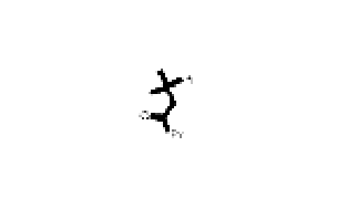 CC(C)C(=O)CC(C)(C)C(C)C